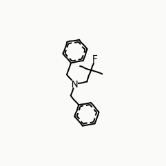 CC(C)(F)CN(Cc1ccccc1)Cc1ccccc1